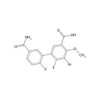 [2H]c1c(F)c(-c2cc(C(N)=O)ccc2F)cc(C(=O)O)c1OC